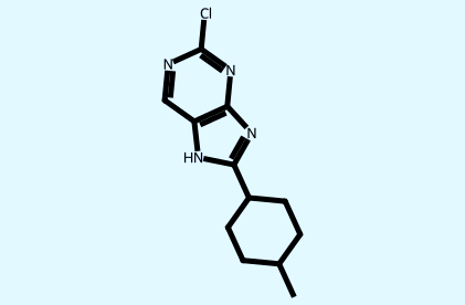 CC1CC[C](c2nc3nc(Cl)ncc3[nH]2)CC1